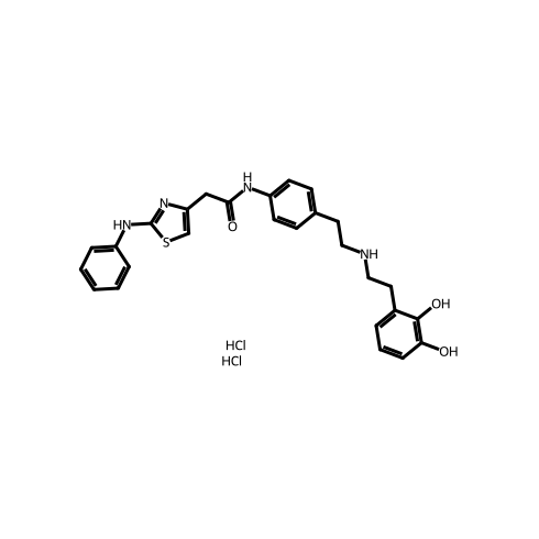 Cl.Cl.O=C(Cc1csc(Nc2ccccc2)n1)Nc1ccc(CCNCCc2cccc(O)c2O)cc1